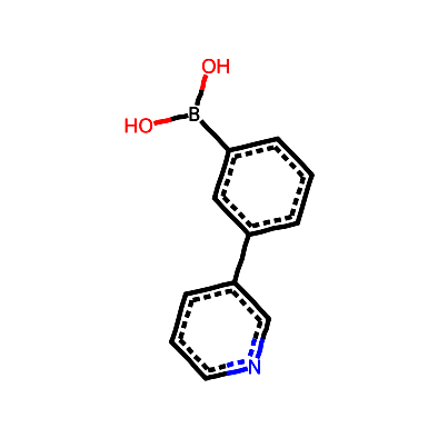 OB(O)c1cccc(-c2cccnc2)c1